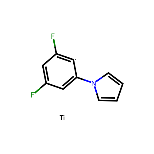 Fc1[c]c(-n2cccc2)cc(F)c1.[Ti]